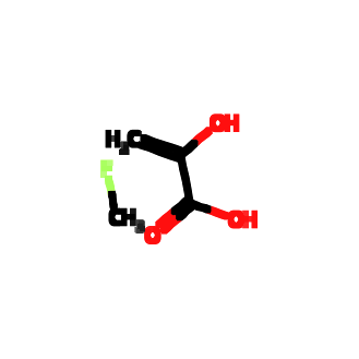 C=C(O)C(=O)O.CF